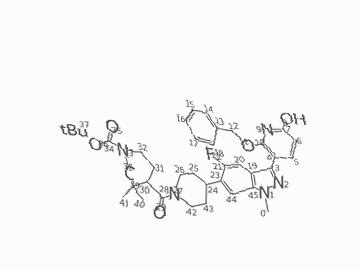 Cn1nc(-c2ccc(O)nc2OCc2ccccc2)c2cc(F)c(C3CCN(C(=O)C4CCN(C(=O)OC(C)(C)C)CC4(C)C)CC3)cc21